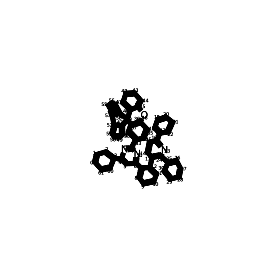 c1ccc(-c2cc(-c3ccccc3-c3ccc(-c4ccccc4)nc3-c3ccccc3)nc(-c3ccc4c(c3)C3(c5ccccc5O4)c4ccccc4-c4ccccc43)n2)cc1